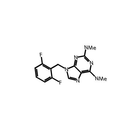 CNc1nc(NC)c2ncn(Cc3c(F)cccc3F)c2n1